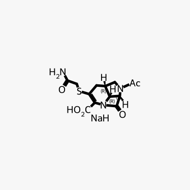 CC(=O)N1C[C@H]2CC(SCC(N)=O)=C(C(=O)O)N3C(=O)[C@@H]1[C@@H]23.[NaH]